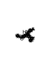 Cc1cc(N2CCc3c(nc(NC4CCN(C5CC5)CC4)nc3N3CCN(C(=O)OCc4ccccc4)CC3)C2)c2ccccc2c1